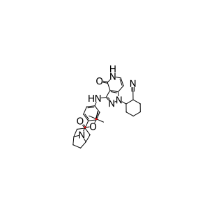 CC(C)(C)OC(=O)N1C2CCC1CC(c1ccc(Nc3nn(C4CCCCC4C#N)c4cc[nH]c(=O)c34)cc1)C2